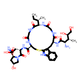 CC[C@H](C)[C@@H]1NC(=O)CNC(=O)[C@@H](NC(=O)[C@@H](N)[C@@H](C)[C@@H](O)CO)Cc2c([nH]c3ccccc23)SC[C@@H](C(=O)N[C@@H](CC(N)=O)C(=O)N2C[C@H](O)C[C@H]2C(=O)O)NC(=O)CNC1=O